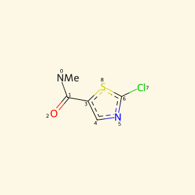 CNC(=O)c1cnc(Cl)s1